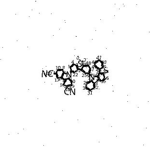 C[Si]1(C)c2ccc(-n3c4ccc(C#N)cc4c4cc(C#N)ccc43)cc2-c2cc(-n3c4ccccc4c4ccc5sc6ccccc6c5c43)ccc21